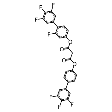 O=C(CC(=O)Oc1ccc(-c2cc(F)c(F)c(F)c2)c(F)c1)Oc1ccc(-c2cc(F)c(F)c(F)c2)cc1